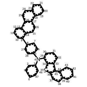 c1ccc(N(c2ccc(-c3cccc4c3ccc3c5ccccc5ccc43)cc2)c2cccc3c2sc2ccc4ccccc4c23)cc1